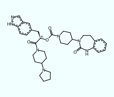 O=C(O[C@H](Cc1ccc2[nH]ncc2c1)C(=O)N1CCC(N2CCCC2)CC1)N1CCC(N2CCc3ccccc3NC2=O)CC1